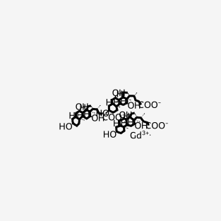 C[C@H](CCC(=O)[O-])[C@H]1CC[C@H]2[C@@H]3[C@H](O)C[C@@H]4C[C@H](O)CC[C@]4(C)[C@H]3C[C@H](O)[C@]12C.C[C@H](CCC(=O)[O-])[C@H]1CC[C@H]2[C@@H]3[C@H](O)C[C@@H]4C[C@H](O)CC[C@]4(C)[C@H]3C[C@H](O)[C@]12C.C[C@H](CCC(=O)[O-])[C@H]1CC[C@H]2[C@@H]3[C@H](O)C[C@@H]4C[C@H](O)CC[C@]4(C)[C@H]3C[C@H](O)[C@]12C.[Gd+3]